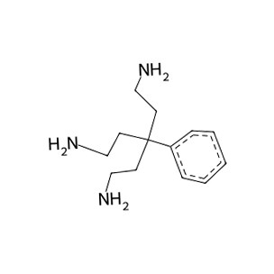 NCCC(CCN)(CCN)c1ccccc1